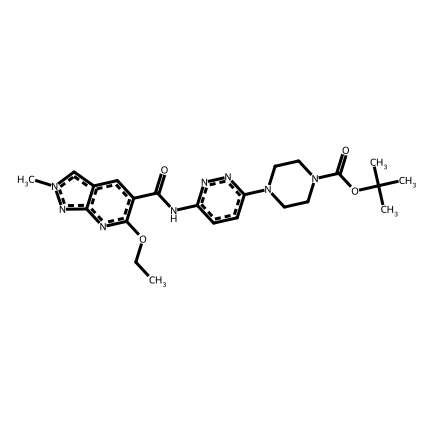 CCOc1nc2nn(C)cc2cc1C(=O)Nc1ccc(N2CCN(C(=O)OC(C)(C)C)CC2)nn1